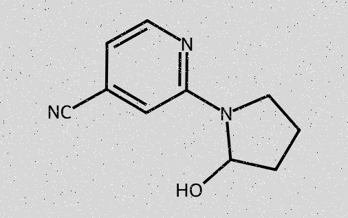 N#Cc1ccnc(N2CCCC2O)c1